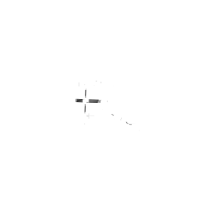 O=S(=O)(O)O.[Cu].[F][Cu][F]